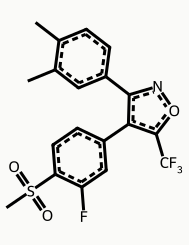 Cc1ccc(-c2noc(C(F)(F)F)c2-c2ccc(S(C)(=O)=O)c(F)c2)cc1C